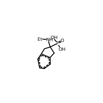 CCNC1(P(=O)(O)O)Cc2ccccc2C1